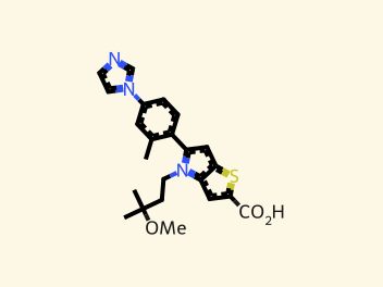 COC(C)(C)CCn1c(-c2ccc(-n3ccnc3)cc2C)cc2sc(C(=O)O)cc21